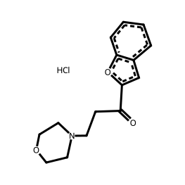 Cl.O=C(CCN1CCOCC1)c1cc2ccccc2o1